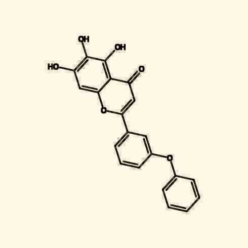 O=c1cc(-c2cccc(Oc3ccccc3)c2)oc2cc(O)c(O)c(O)c12